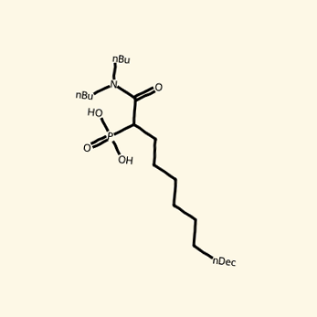 CCCCCCCCCCCCCCCCC(C(=O)N(CCCC)CCCC)P(=O)(O)O